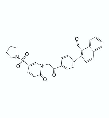 O=Cc1c(-c2ccc(C(=O)Cn3cc(S(=O)(=O)N4CCCC4)ccc3=O)cc2)ccc2ccccc12